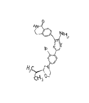 CC(C)[C@H]1CN(c2ccc(-c3cnc(N)c(-c4ccc5c(c4)CCNC5=O)n3)c(F)c2)CCO1